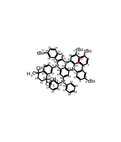 CC(C)(C)c1ccc(-c2cc(C(C)(C)C)ccc2N2c3ccc(C(C)(C)C)cc3B3c4sc5ccc(C(C)(C)C)cc5c4N(c4ccc5c(c4)C(C)(C)CCC5(C)C)c4cc(N(c5ccccc5)c5ccccc5)cc2c43)cc1